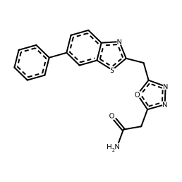 NC(=O)Cc1nnc(Cc2nc3ccc(-c4ccccc4)cc3s2)o1